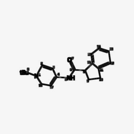 CC(C)(C)N1C=CC(NC(=O)C2CCc3ccccc32)=CC1